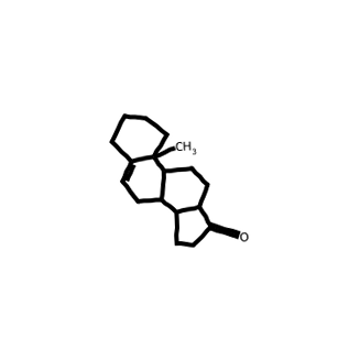 CC12CCCCC1=CCC1C3CCC(=O)C3CCC12